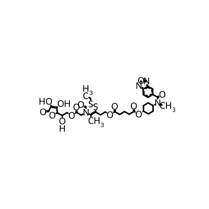 CCSS/C(CCOC(=O)CCCC(=O)O[C@H]1CC[C@H](N(C)C(=O)c2ccc3nonc3c2)CC1)=C(/C)N(C=O)CC(=O)OCC(O)C1OC(=O)C(O)=C1O